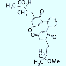 COC(C)(C)CCCC1=CC(=O)C=C(c2ccccc2C2=CC(=O)C=C(CCCC(C)(C)C(=O)O)C2=O)C1=O